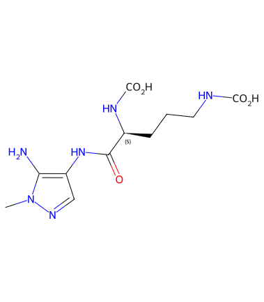 Cn1ncc(NC(=O)[C@H](CCCNC(=O)O)NC(=O)O)c1N